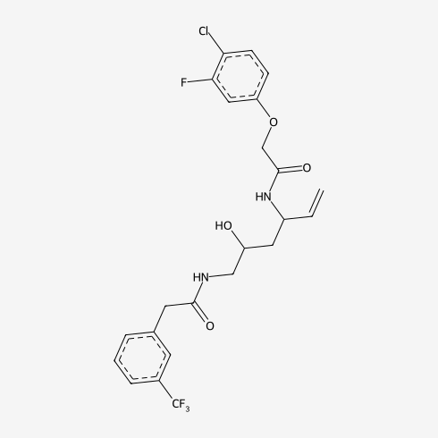 C=CC(CC(O)CNC(=O)Cc1cccc(C(F)(F)F)c1)NC(=O)COc1ccc(Cl)c(F)c1